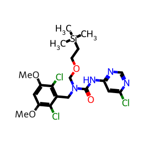 COc1cc(OC)c(Cl)c(CN(COCC[Si](C)(C)C)C(=O)Nc2cc(Cl)ncn2)c1Cl